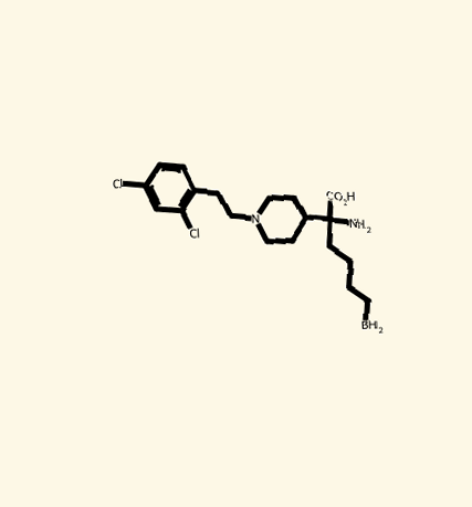 BCCCCC(N)(C(=O)O)C1CCN(CCc2ccc(Cl)cc2Cl)CC1